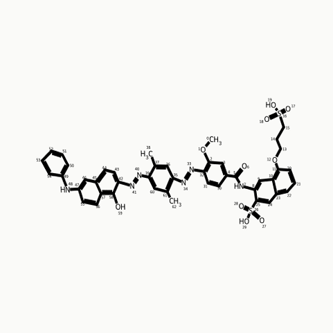 COc1cc(C(=O)Nc2cc3c(OCCCS(=O)(=O)O)cccc3cc2S(=O)(=O)O)ccc1N=Nc1cc(C)c(N=Nc2ccc3cc(Nc4ccccc4)ccc3c2O)cc1C